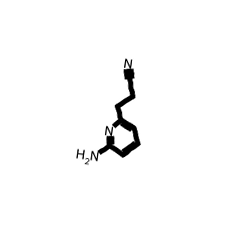 N#CCCc1cccc(N)n1